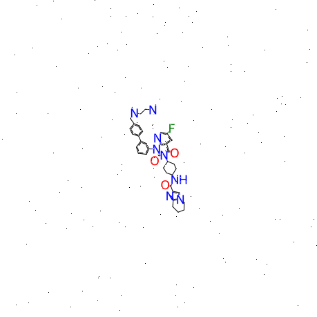 CN(C)CCN(C)Cc1ccc(-c2cccc(-n3c(=O)n(C4CCC(NC(=O)c5cn6c(n5)CCCC6)CC4)c(=O)c4cc(F)cnc43)c2)cc1